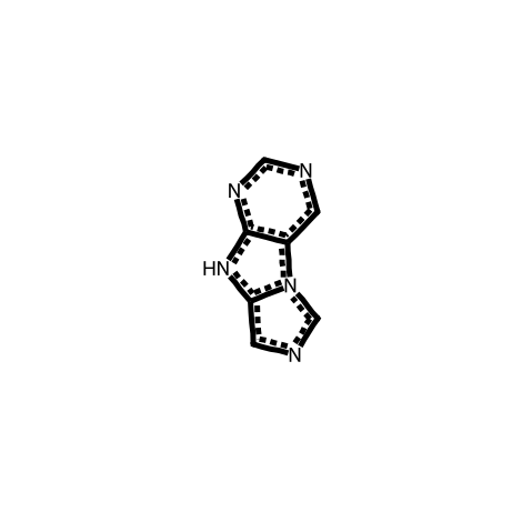 c1ncc2c(n1)[nH]c1cncn12